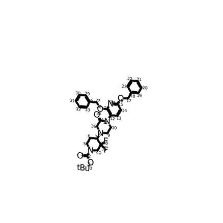 CC(C)(C)OC(=O)N1CCC(N2CCN(c3ccc(OCc4ccccc4)nc3OCc3ccccc3)C(=O)C2)C(F)(F)C1